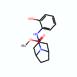 CC(C)(C)OC(=O)N1C2CCC1CC(Nc1ccccc1O)C2